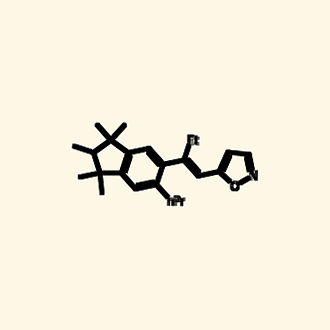 CCCc1cc2c(cc1C(=Cc1ccno1)CC)C(C)(C)C(C)C2(C)C